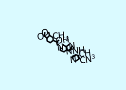 Cc1c(C#N)cncc1Nc1ncc2c(n1)CCN(CC(O)C1CCC3C(=O)OCC3C1C)C2